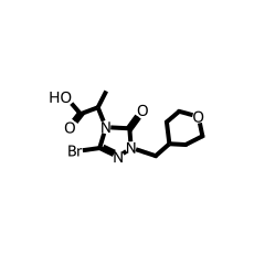 CC(C(=O)O)n1c(Br)nn(CC2CCOCC2)c1=O